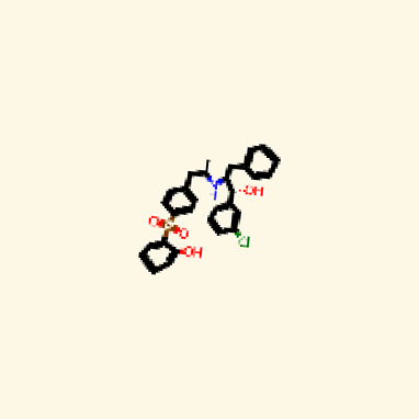 C[C@H](Cc1ccc(S(=O)(=O)c2ccccc2O)cc1)NC(Cc1ccccc1)[C@H](O)c1cccc(Cl)c1